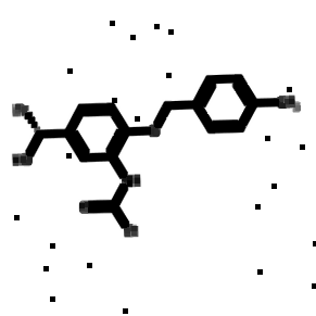 CCC(=O)Nc1cc([C@H](O)C(C)C)ccc1OCc1ccc(C)cc1